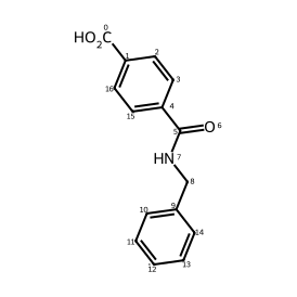 O=C(O)c1ccc(C(=O)NCc2cc[c]cc2)cc1